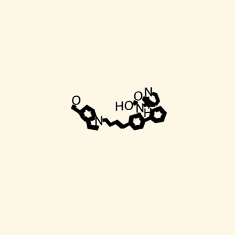 O=Cc1ccc2c(ccn2CCC=Cc2ccc(-c3ccccc3)c(N(C(=O)O)[C@H]3CN4CCC3CC4)c2)c1